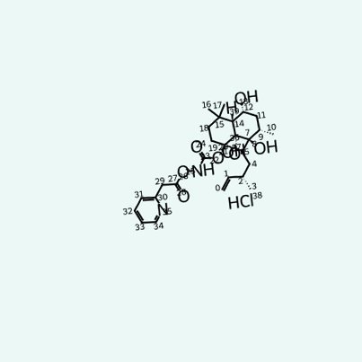 C=C[C@@H](C)CC(=O)[C@@]1(O)[C@@H](C)C[C@@H](O)[C@H]2C(C)(C)CC[C@@](O)(OC(=O)NOC(=O)Cc3ccccn3)[C@@]21C.Cl